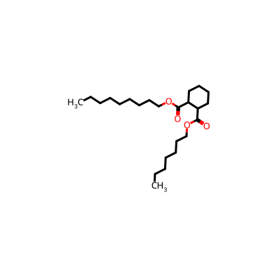 CCCCCCCCCOC(=O)C1CCCCC1C(=O)OCCCCCCC